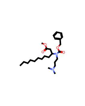 CCCCCCCCCC(CC(=O)OC)N(CCCN(C)C)C(=O)OCc1ccccc1